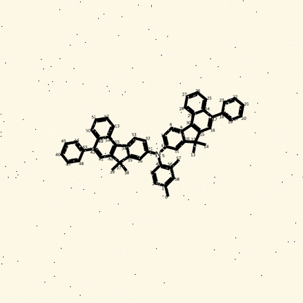 Cc1ccc(N(c2ccc3c(c2)C(C)(C)c2cc(-c4ccccc4)c4ccccc4c2-3)c2ccc3c(c2)C(C)(C)c2cc(-c4ccccc4)c4ccccc4c2-3)c(C)c1